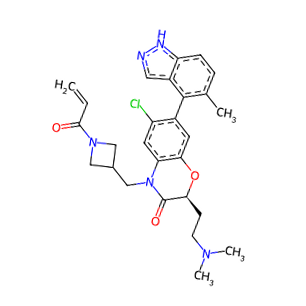 C=CC(=O)N1CC(CN2C(=O)[C@H](CCN(C)C)Oc3cc(-c4c(C)ccc5[nH]ncc45)c(Cl)cc32)C1